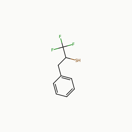 FC(F)(F)C(S)Cc1ccccc1